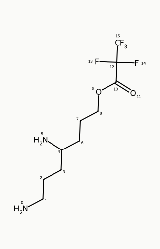 NCCCC(N)CCCOC(=O)C(F)(F)C(F)(F)F